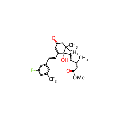 COC(=O)/C=C(C)\C=C\[C@@]1(O)C(/C=C/c2cc(F)cc(C(F)(F)F)c2)=CC(=O)CC1(C)C